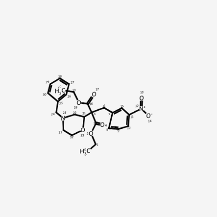 CCOC(=O)C(Cc1cccc([N+](=O)[O-])c1)(C(=O)OCC)C1CN(Cc2ccccc2)CCO1